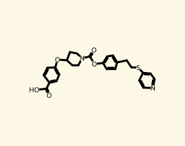 O=C(O)c1ccc(OC2CCN(C(=O)Oc3ccc(CCSc4ccncc4)cc3)CC2)cc1